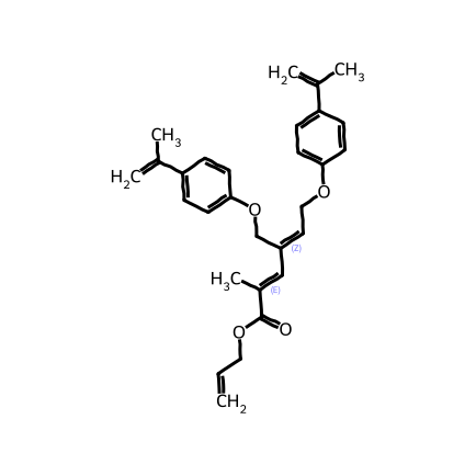 C=CCOC(=O)/C(C)=C/C(=C/COc1ccc(C(=C)C)cc1)COc1ccc(C(=C)C)cc1